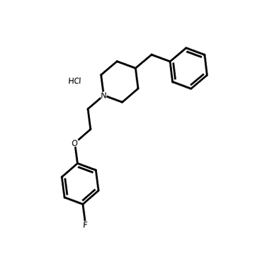 Cl.Fc1ccc(OCCN2CCC(Cc3ccccc3)CC2)cc1